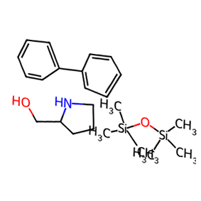 C[Si](C)(C)O[Si](C)(C)C.OCC1CCCN1.c1ccc(-c2ccccc2)cc1